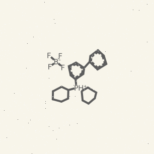 F[B-](F)(F)F.c1ccc(-c2cccc([PH+](C3CCCCC3)C3CCCCC3)c2)cc1